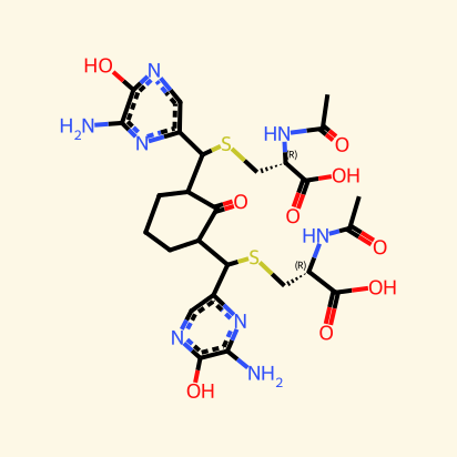 CC(=O)N[C@@H](CSC(c1cnc(O)c(N)n1)C1CCCC(C(SC[C@H](NC(C)=O)C(=O)O)c2cnc(O)c(N)n2)C1=O)C(=O)O